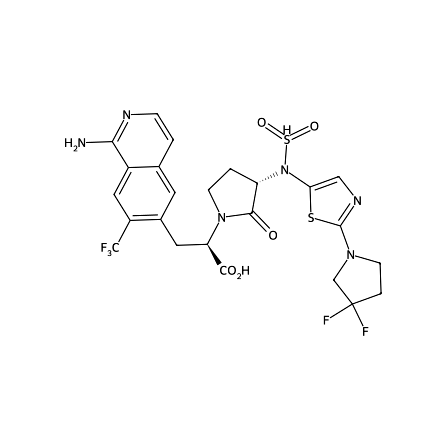 Nc1nccc2cc(C[C@H](C(=O)O)N3CC[C@H](N(c4cnc(N5CCC(F)(F)C5)s4)[SH](=O)=O)C3=O)c(C(F)(F)F)cc12